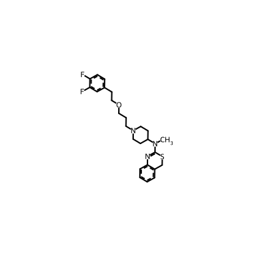 CN(C1=Nc2ccccc2CS1)C1CCN(CCCOCCc2ccc(F)c(F)c2)CC1